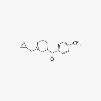 O=C(c1ccc(C(F)(F)F)cc1)C1CCCN(CC2CC2)C1